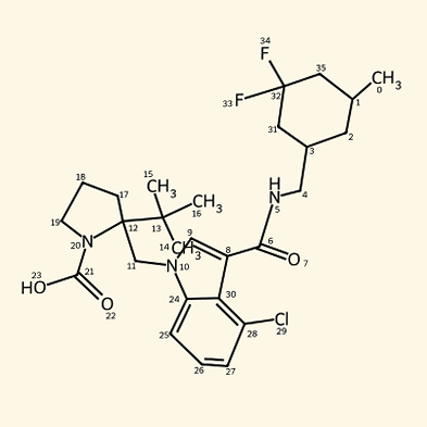 CC1CC(CNC(=O)c2cn(CC3(C(C)(C)C)CCCN3C(=O)O)c3cccc(Cl)c23)CC(F)(F)C1